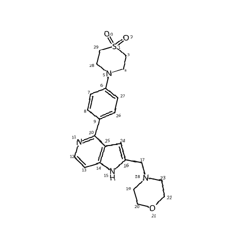 O=S1(=O)CCN(c2ccc(-c3nccc4[nH]c(CN5CCOCC5)cc34)cc2)CC1